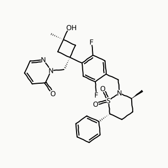 C[C@H]1CC[C@H](c2ccccc2)S(=O)(=O)N1Cc1cc(F)c([C@]2(Cn3ncccc3=O)C[C@](C)(O)C2)cc1F